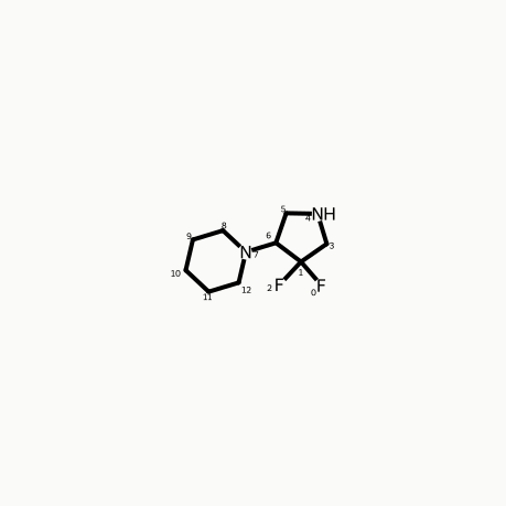 FC1(F)CNCC1N1CCCCC1